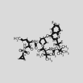 C=C/C=C(/NC(=O)[C@@H]1C[C@@H](Oc2cc(C(F)(F)F)nc3ccc(F)cc23)CN1C(=O)[C@@H](NC(=O)OC(C)(C)C)C(C)(C)C)C(=O)NS(=O)(=O)C1CC1